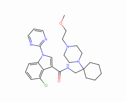 COCCN1CCN(C2(CNC(=O)c3cn(-c4ncccn4)c4cccc(Cl)c34)CCCCC2)CC1